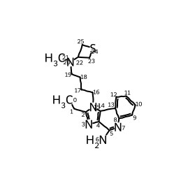 CCc1nc2c(N)nc3ccccc3c2n1CCCCN(C)C1CSC1